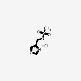 CS(=O)(=O)OCc1cocn1.Cl